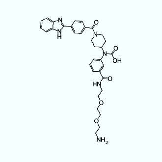 NCCOCCOCCNC(=O)c1cccc(N(C(=O)O)C2CCN(C(=O)c3ccc(-c4nc5ccccc5[nH]4)cc3)CC2)c1